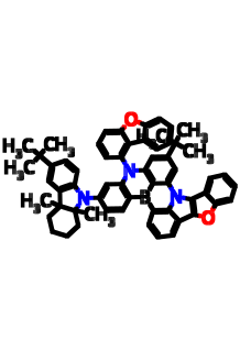 CC(C)(C)c1cc2c3c(c1)-n1c4c(cccc4c4oc5ccccc5c41)B3c1ccc(N3c4ccc(C(C)(C)C)cc4C4(C)CCCCC34C)cc1N2c1cccc2oc3ccccc3c12